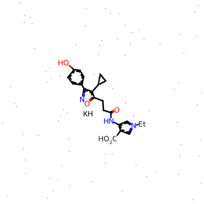 CCn1cc(NC(=O)CCc2onc(-c3ccc(O)cc3)c2C2CC2)c(C(=O)O)c1.[KH]